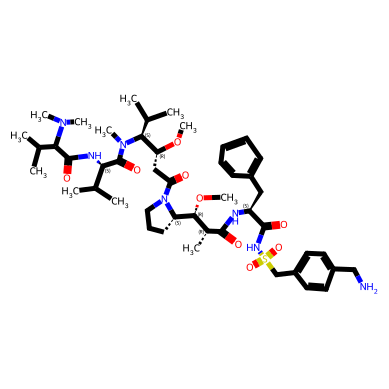 CO[C@H]([C@@H](C)C(=O)N[C@@H](Cc1ccccc1)C(=O)NS(=O)(=O)Cc1ccc(CN)cc1)[C@@H]1CCCN1C(=O)C[C@@H](OC)[C@H](C(C)C)N(C)C(=O)[C@@H](NC(=O)C(C(C)C)N(C)C)C(C)C